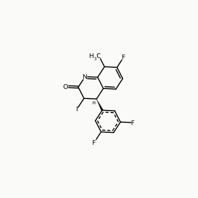 CC1C(F)=CC=C2C1=NC(=O)C(I)[C@@H]2c1cc(F)cc(F)c1